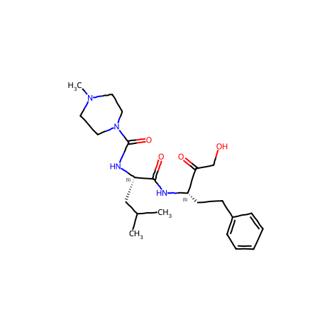 CC(C)C[C@H](NC(=O)N1CCN(C)CC1)C(=O)N[C@@H](CCc1ccccc1)C(=O)CO